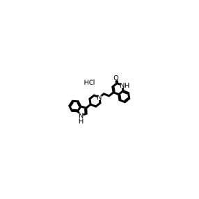 Cl.O=c1cc(CCN2CCC(c3c[nH]c4ccccc34)CC2)c2ccccc2[nH]1